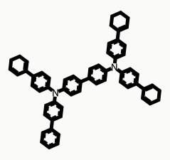 C1=CC(c2ccc(N(c3ccc(C4=CCCCC4)cc3)c3ccc(-c4ccc(N(c5ccc(C6=CCCC=C6)cc5)c5ccc(-c6ccccc6)cc5)cc4)cc3)cc2)=CCC1